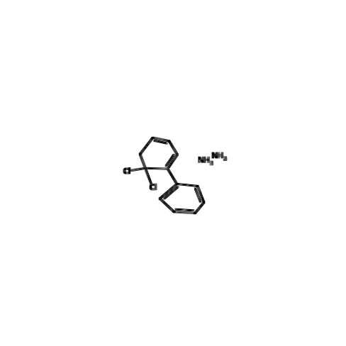 ClC1(Cl)CC=CC=C1c1ccccc1.N.N